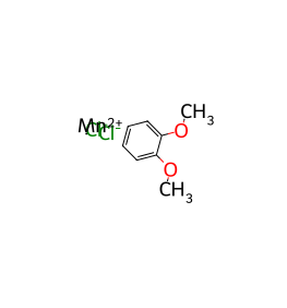 COc1ccccc1OC.[Cl-].[Cl-].[Mn+2]